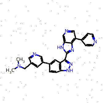 CN(C)Cc1cncc(-c2ccc3[nH]nc(-c4nc5c(-c6ccncc6)cncc5[nH]4)c3c2)c1